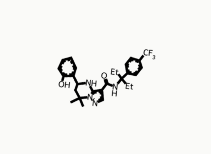 CCC(CC)(NC(=O)c1cnn2c1NC(c1ccccc1O)CC2(C)C)c1ccc(C(F)(F)F)cc1